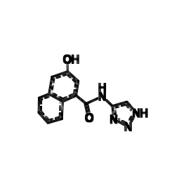 O=C(Nc1c[nH]nn1)c1cc(O)cc2ccccc12